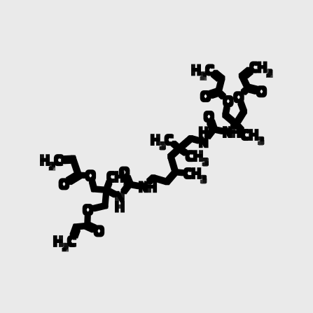 C=CC(=O)OCC(C)(COC(=O)C=C)NC(=O)NCCC(C)CC(C)(C)CNC(=O)NC(C)(COC(=O)C=C)COC(=O)C=C